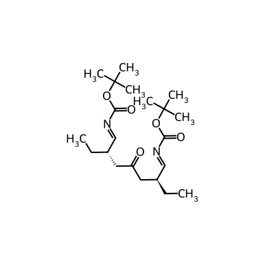 CC[C@H](C=NC(=O)OC(C)(C)C)CC(=O)C[C@@H](C=NC(=O)OC(C)(C)C)CC